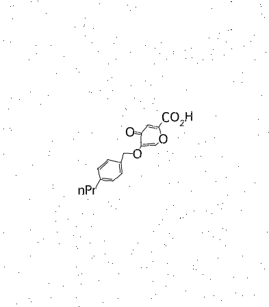 CCCc1ccc(COc2coc(C(=O)O)cc2=O)cc1